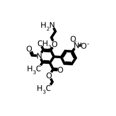 CCOC(=O)C1=C(C)N(C=O)C(C)=C(OCCN)C1c1cccc([N+](=O)[O-])c1